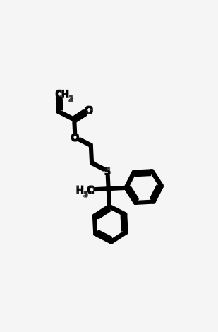 C=CC(=O)OCCSC(C)(c1ccccc1)c1ccccc1